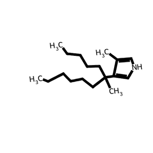 CCCCCCC(C)(CCCCC)c1c[nH]cc1C